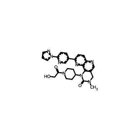 CN1Cc2cnc3ccc(-c4ccc(-n5cccn5)nc4)nc3c2N(C2CCN(C(=O)CO)CC2)C1=O